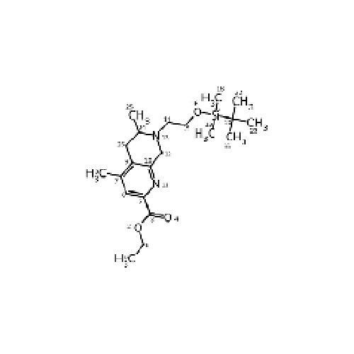 CCOC(=O)c1cc(C)c2c(n1)CN(CCO[Si](C)(C)C(C)(C)C)C(C)C2